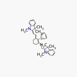 CN1/C(=C/C=C2\CCCC(CCC3=[N+](C)c4ccccc4C3(C)C)=C2S2=CC=CC=C2)C(C)(C)c2ccccc21